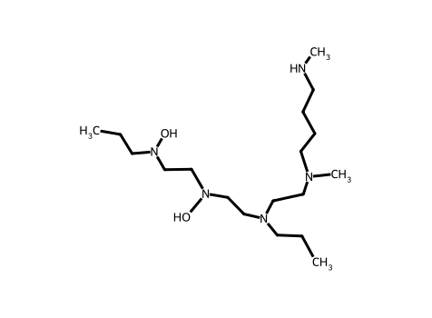 CCCN(O)CCN(O)CCN(CCC)CCN(C)CCCCNC